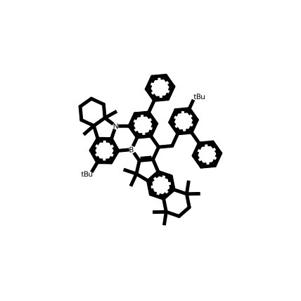 CC(C)(C)c1ccc(CC2C3=C(B4c5cc(C(C)(C)C)cc6c5N(c5cc(-c7ccccc7)cc2c54)C2(C)CCCCC62C)C(C)(C)c2cc4c(cc23)C(C)(C)CCC4(C)C)c(-c2ccccc2)c1